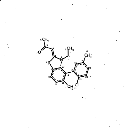 CCN1/C(=C/C(C)=O)Sc2ccc(O)c(-c3cc(C)ccc3Cl)c21